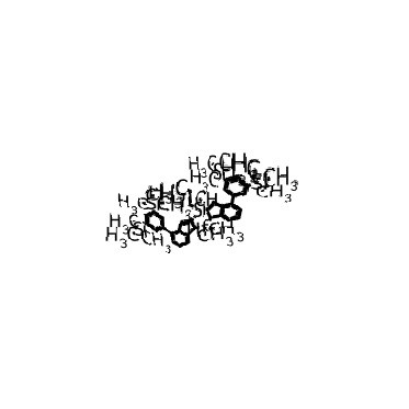 CCC[Si]1(C)C2=Cc3c(-c4cc([Si](C)(C)C)cc([Si](C)(C)C)c4)cccc3[CH]2[Hf]([CH3])([CH3])[CH]2C1=Cc1c(-c3cc([Si](C)(C)C)cc([Si](C)(C)C)c3)cccc12